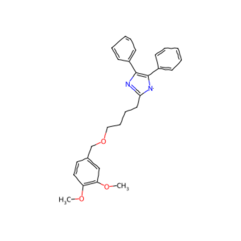 COc1ccc(COCCCCC2=NC(c3ccccc3)=C(c3ccccc3)[N]2)cc1OC